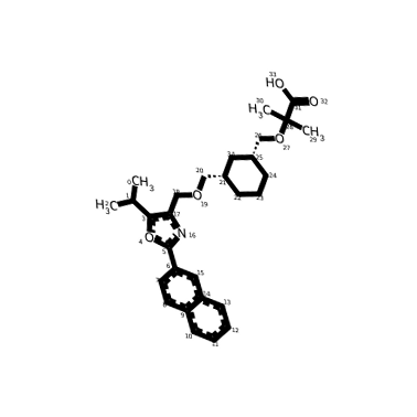 CC(C)c1oc(-c2ccc3ccccc3c2)nc1COC[C@H]1CCC[C@@H](COC(C)(C)C(=O)O)C1